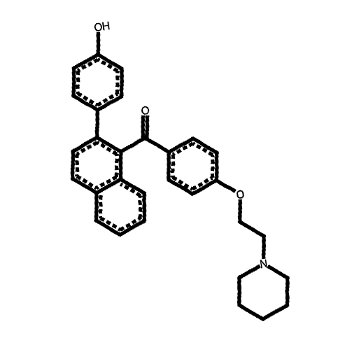 O=C(c1ccc(OCCN2CCCCC2)cc1)c1c(-c2ccc(O)cc2)ccc2ccccc12